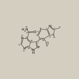 Cc1nc2ccc(-c3n[nH]c4ncnc(C(N)=O)c34)c(Cl)c2s1